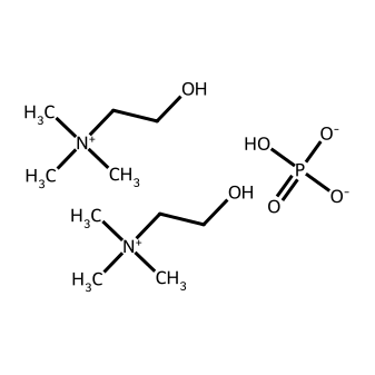 C[N+](C)(C)CCO.C[N+](C)(C)CCO.O=P([O-])([O-])O